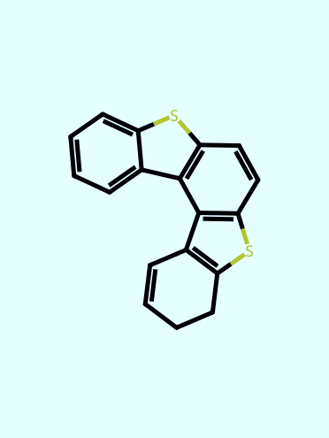 C1=Cc2c(sc3ccc4sc5ccccc5c4c23)CC1